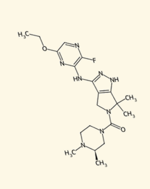 CCOc1cnc(F)c(Nc2n[nH]c3c2CN(C(=O)N2CCN(C)[C@H](C)C2)C3(C)C)n1